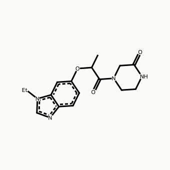 CCn1cnc2ccc(OC(C)C(=O)N3CCNC(=O)C3)cc21